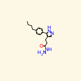 CCCCc1ccc(-c2[nH]ncc2CCC(=O)NN)cc1